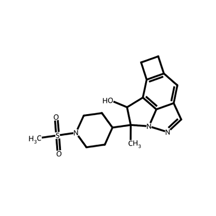 CC1(C2CCN(S(C)(=O)=O)CC2)C(O)c2c3c(cc4cnn1c24)CC3